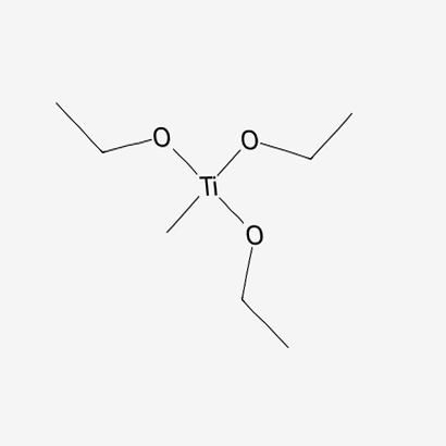 CC[O][Ti]([CH3])([O]CC)[O]CC